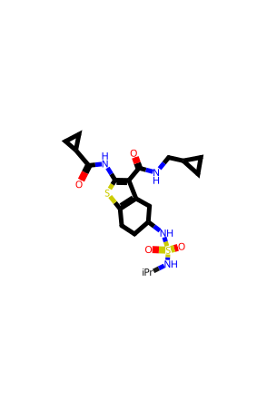 CC(C)NS(=O)(=O)NC1CCc2sc(NC(=O)C3CC3)c(C(=O)NCC3CC3)c2C1